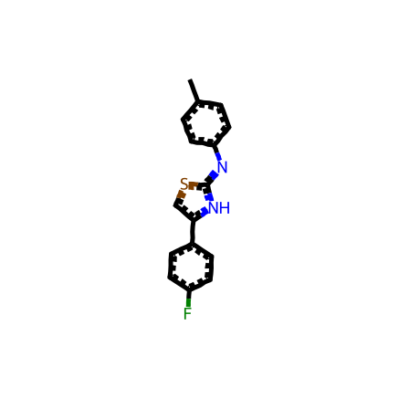 Cc1ccc(N=c2[nH]c(-c3ccc(F)cc3)cs2)cc1